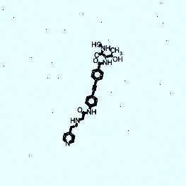 C[C@@H](O)[C@H](NC(=O)c1ccc(C#Cc2ccc(NC(=O)CNCCc3ccncc3)cc2)cc1)C(=O)NO